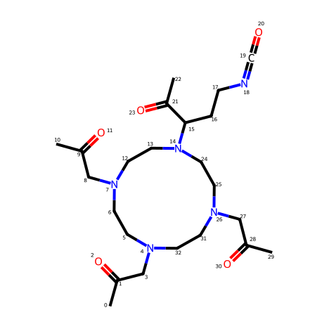 CC(=O)CN1CCN(CC(C)=O)CCN(C(CCN=C=O)C(C)=O)CCN(CC(C)=O)CC1